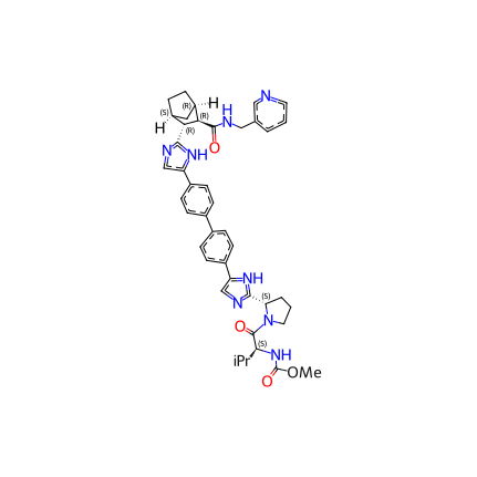 COC(=O)N[C@H](C(=O)N1CCC[C@H]1c1ncc(-c2ccc(-c3ccc(-c4cnc([C@@H]5[C@H]6CC[C@H](C6)[C@H]5C(=O)NCc5cccnc5)[nH]4)cc3)cc2)[nH]1)C(C)C